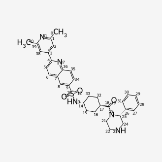 Cc1cc(-c2ccc3cc(S(=O)(=O)N[C@H]4CC[C@H](C(=O)N5CCNC[C@H]5c5ccccc5)CC4)ccc3n2)cc(C)n1